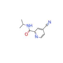 CC(C)NC(=O)c1cc(C#N)ccn1